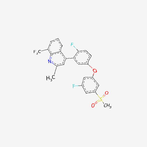 Cc1cc(-c2cc(Oc3cc(F)cc(S(C)(=O)=O)c3)ccc2F)c2cccc(C(F)(F)F)c2n1